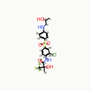 CC(O)CNc1ccc(S(=O)(=O)c2ccc(NC(=O)C(C)(O)C(F)(F)F)c(Cl)c2)cc1